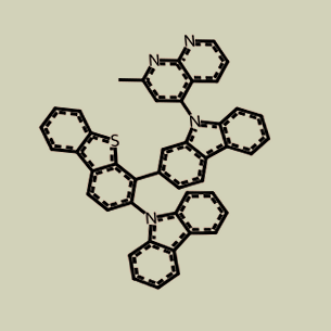 Cc1cc(-n2c3ccccc3c3ccc(-c4c(-n5c6ccccc6c6ccccc65)ccc5c4sc4ccccc45)cc32)c2cccnc2n1